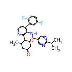 CC(C)c1ncc(C(=O)Nc2c(-c3cc(F)ccc3F)ccnc2C2CCC(=O)CC2C)cn1